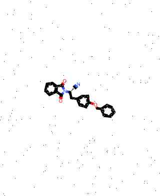 N#C[C@H](Cc1ccc(OCc2ccccc2)cc1)N1C(=O)c2ccccc2C1=O